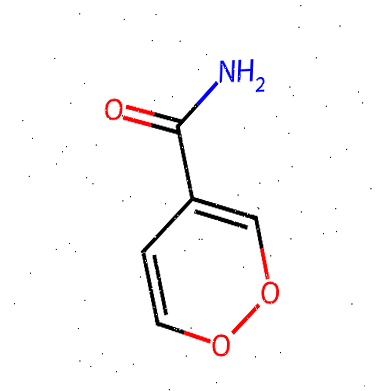 NC(=O)C1=COOC=C1